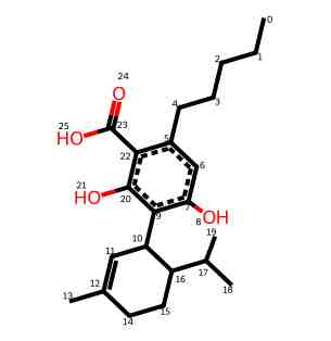 CCCCCc1cc(O)c(C2C=C(C)CCC2C(C)C)c(O)c1C(=O)O